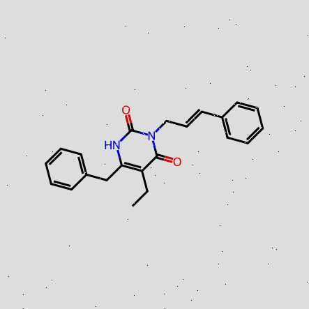 CCc1c(Cc2ccccc2)[nH]c(=O)n(CC=Cc2ccccc2)c1=O